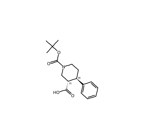 CC(C)(C)OC(=O)N1CC[C@@H](c2ccccc2)[C@H](C(=O)O)C1